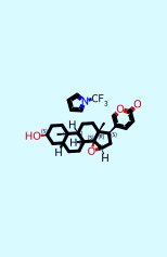 C[C@]12CC[C@H](O)C[C@H]1CC[C@@H]1[C@@H]2CC[C@]2(C)[C@@H](c3ccc(=O)oc3)C[C@H]3O[C@]132.FC(F)(F)n1cccc1